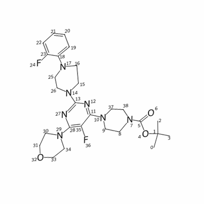 CC(C)(C)OC(=O)N1CCN(c2nc(N3CCN(c4ccccc4F)CC3)nc(N3CCOCC3)c2F)CC1